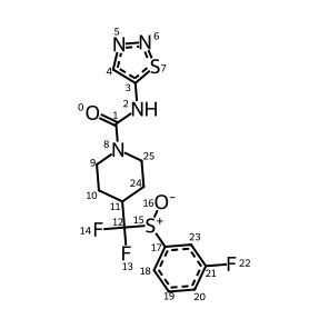 O=C(Nc1cnns1)N1CCC(C(F)(F)[S+]([O-])c2cccc(F)c2)CC1